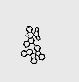 c1ccc2c(c1)Oc1c(cc(-c3ccc4c(c3)C3(c5ccccc5-4)c4ccccc4-c4c3ccc3ccccc43)c3ccccc13)C21c2ccccc2-c2ccccc21